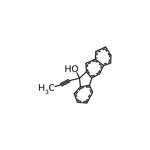 CC#CC1(O)c2ccccc2-c2cc3ccccc3cc21